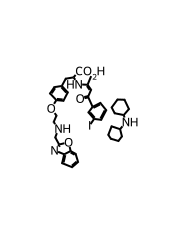 C/C(=C/C(=O)c1cccc(I)c1)NC(Cc1ccc(OCCNCc2nc3ccccc3o2)cc1)C(=O)O.C1CCC(NC2CCCCC2)CC1